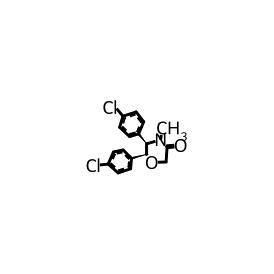 CN1C(=O)CO[C@@H](c2ccc(Cl)cc2)[C@H]1c1ccc(Cl)cc1